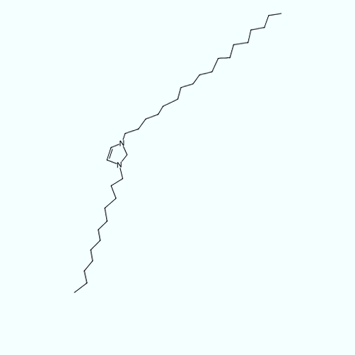 CCCCCCCCCCCCCCCCCCN1C=CN(CCCCCCCCCCCC)C1